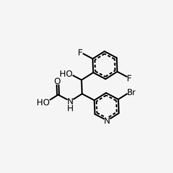 O=C(O)NC(c1cncc(Br)c1)C(O)c1cc(F)ccc1F